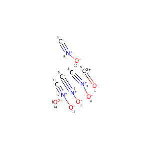 [C+2]=O.[C-]#[N+][O-].[C-]#[N+][O-].[C-]#[N+][O-].[C-]#[N+][O-].[O+2]